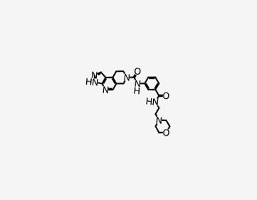 O=C(NCCN1CCOCC1)c1cccc(NC(=O)N2CCc3c(cnc4[nH]ncc34)C2)c1